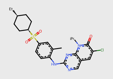 CC[C@H]1CC[C@@H](S(=O)(=O)c2ccc(Nc3ncc4cc(Cl)c(=O)n(C(C)C)c4n3)c(C)c2)CC1